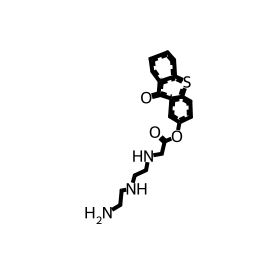 NCCNCCNCC(=O)Oc1ccc2sc3ccccc3c(=O)c2c1